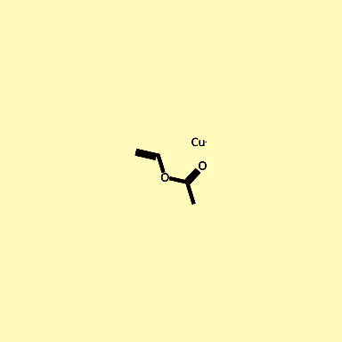 C=COC(C)=O.[Cu]